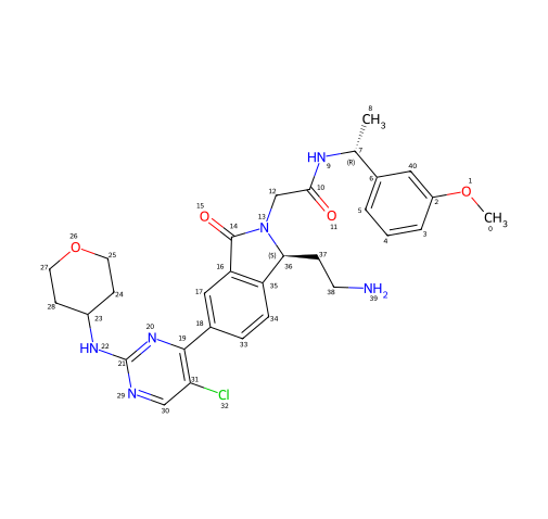 COc1cccc([C@@H](C)NC(=O)CN2C(=O)c3cc(-c4nc(NC5CCOCC5)ncc4Cl)ccc3[C@@H]2CCN)c1